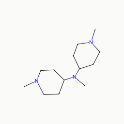 CN1CCC(N(C)C2CCN(C)CC2)CC1